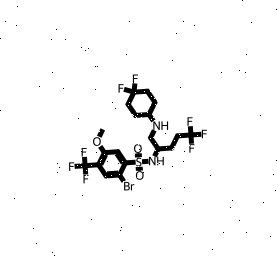 COc1cc(S(=O)(=O)NC(CCC(F)(F)F)CNC2CCC(F)(F)CC2)c(Br)cc1C(F)(F)F